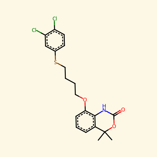 CC1(C)OC(=O)Nc2c(OCCCCSc3ccc(Cl)c(Cl)c3)cccc21